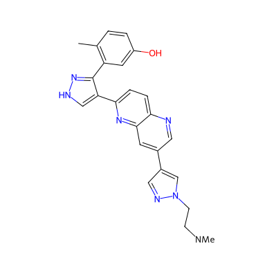 CNCCn1cc(-c2cnc3ccc(-c4c[nH]nc4-c4cc(O)ccc4C)nc3c2)cn1